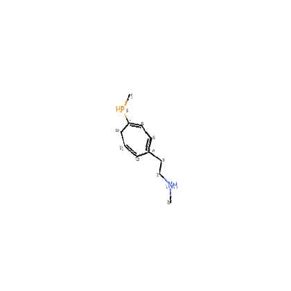 CNCCC1=CC=C(PC)CC=C1